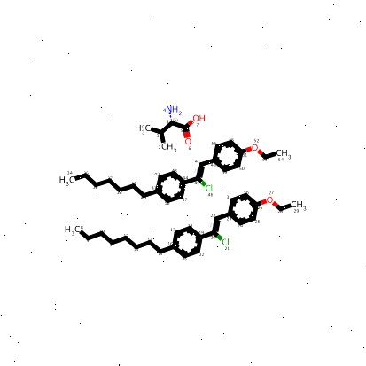 CC(C)[C@H](N)C(=O)O.CCCCCCCCc1ccc(/C(Cl)=C/c2ccc(OCC)cc2)cc1.CCCCCCCc1ccc(/C(Cl)=C/c2ccc(OCC)cc2)cc1